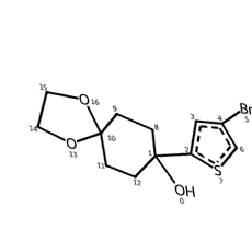 OC1(c2cc(Br)cs2)CCC2(CC1)OCCO2